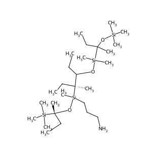 CCC(O[Si](C)(C)C(C)(CC)O[Si](C)(C)C)[C@](C)(CC)[Si](C)(CCCN)O[C@](C)(CC)[Si](C)(C)C